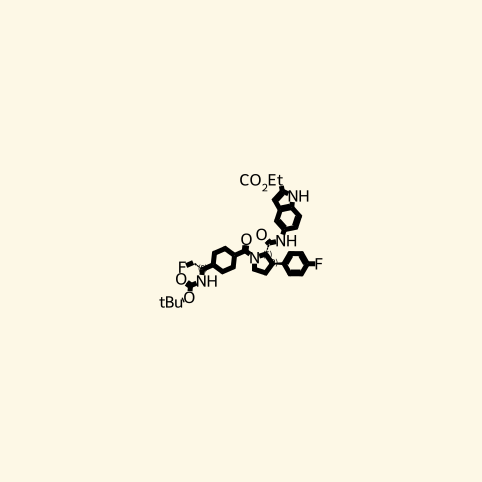 CCOC(=O)c1cc2cc(NC(=O)[C@@H]3[C@@H](c4ccc(F)cc4)CCN3C(=O)C3CCC([C@@H](CF)NC(=O)OC(C)(C)C)CC3)ccc2[nH]1